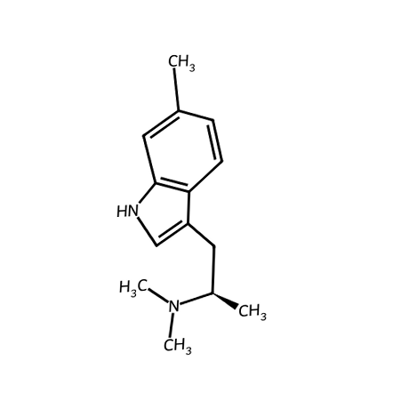 Cc1ccc2c(C[C@@H](C)N(C)C)c[nH]c2c1